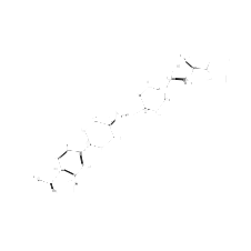 CC(C)c1noc(N2CCC(ON=C3CCC(c4ccc(C(N)=O)c(F)c4)CC3)CC2)n1